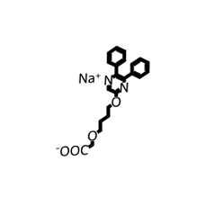 O=C([O-])COCCCCOc1cnc(-c2ccccc2)c(-c2ccccc2)n1.[Na+]